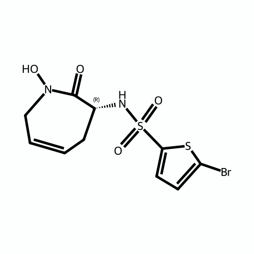 O=C1[C@H](NS(=O)(=O)c2ccc(Br)s2)CC=CCN1O